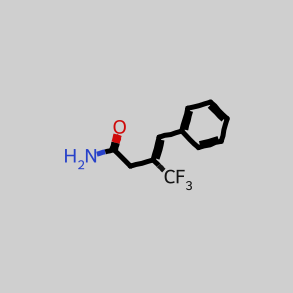 NC(=O)C/C(=C/c1ccccc1)C(F)(F)F